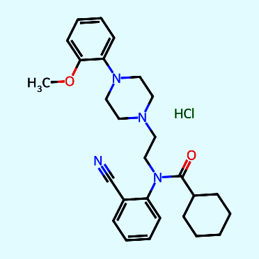 COc1ccccc1N1CCN(CCN(C(=O)C2CCCCC2)c2ccccc2C#N)CC1.Cl